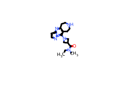 CCN(C)C(=O)C1CN(c2c3c(nc4ccnn24)CCNCC3)C1